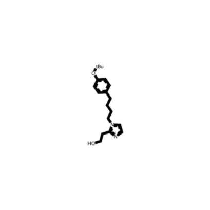 CC(C)(C)Oc1ccc(CCCCn2ccnc2CCO)cc1